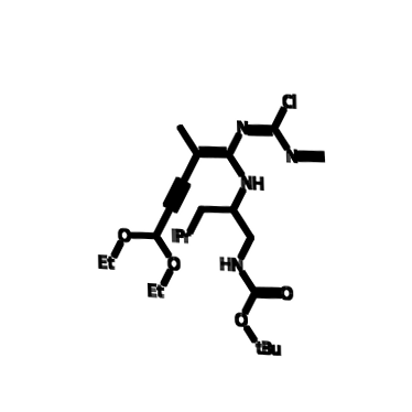 C=N/C(Cl)=N\C(NC(CNC(=O)OC(C)(C)C)CC(C)C)=C(/C)C#CC(OCC)OCC